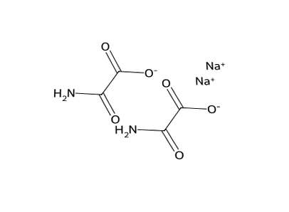 NC(=O)C(=O)[O-].NC(=O)C(=O)[O-].[Na+].[Na+]